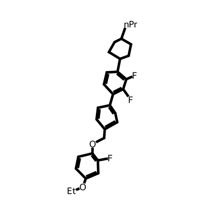 CCCC1CCC(c2ccc(-c3ccc(COc4ccc(OCC)cc4F)cc3)c(F)c2F)CC1